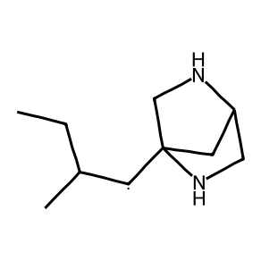 CCC(C)[CH]C12CNC(CN1)C2